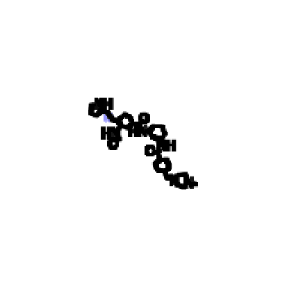 CN1CCN(Cc2ccc(C(=O)Nc3cccc(NC(=O)c4ccc(/C=C/c5ccc[nH]5)c(NC=O)c4)c3)cc2)CC1